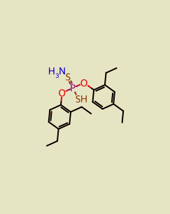 CCc1ccc(OP(=S)(S)Oc2ccc(CC)cc2CC)c(CC)c1.N